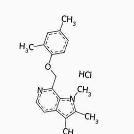 Cc1ccc(OCc2nccc3c(C)c(C)n(C)c23)c(C)c1.Cl